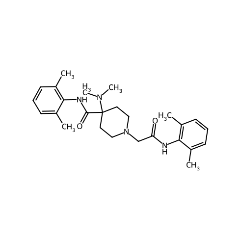 Cc1cccc(C)c1NC(=O)CN1CCC(C(=O)Nc2c(C)cccc2C)(N(C)C)CC1